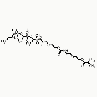 C=C(C)C(=O)OCCOCCNC(=O)OCCOCCC[Si](C)(C)C(C)O[Si](C)(C)C(C)O[Si](C)(C)CCCC